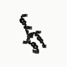 CCC(COCC(O)OCC1CC2C3CC(CO)C(C3)C2C1)(COCC(O)OCC1CC2CC1C1CC(CO)CC21)COCC(O)OCC1CC2CC1C1CC(CO)CC21